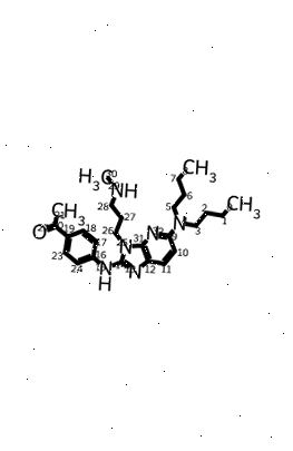 CCCCN(CCCC)c1ccc2nc(Nc3ccc(C(C)=O)cc3)n(CCCNC)c2n1